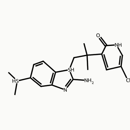 C[SH](C)c1ccc2c(c1)N=C(N)[SH]2CC(C)(C)c1cc(Cl)c[nH]c1=O